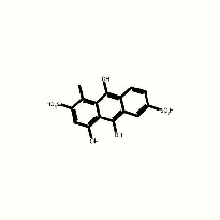 Cc1c(S(=O)(=O)O)cc(O)c2c(O)c3cc(S(=O)(=O)O)ccc3c(O)c12